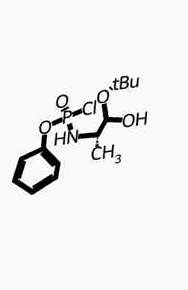 C[C@H](NP(=O)(Cl)Oc1ccccc1)C(O)OC(C)(C)C